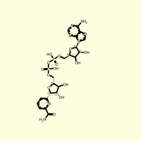 NC(=O)c1cccc([C@@H]2O[C@H](COP(=O)(O)OP(=O)(O)OC[C@H]3O[C@@H](n4cnc5c(N)ncnc54)[C@@H](O)C3O)C(O)[C@@H]2O)n1